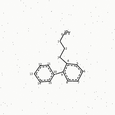 CC(C)CCCc1ccccc1-c1ccccc1